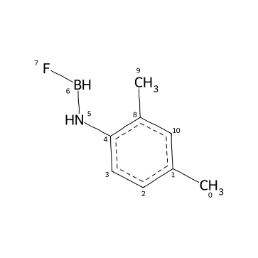 Cc1ccc(NBF)c(C)c1